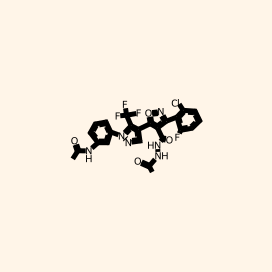 CC(=O)NNC(=O)c1c(-c2c(F)cccc2Cl)noc1-c1cnn(-c2cccc(NC(C)=O)c2)c1C(F)(F)F